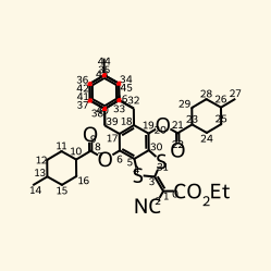 CCOC(=O)/C(C#N)=C1/Sc2c(OC(=O)C3CCC(C)CC3)c3c(c(OC(=O)C4CCC(C)CC4)c2S1)C1c2ccccc2C3c2ccc(C)cc21